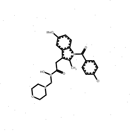 COc1ccc2c(c1)c(CC(=O)N(O)CN1CCOCC1)c(C)n2C(=O)c1ccc(Cl)cc1